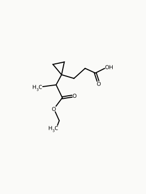 CCOC(=O)C(C)C1(CCC(=O)O)CC1